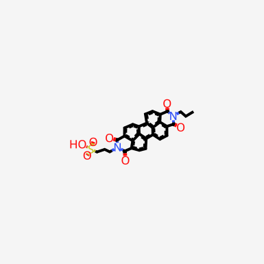 CCCN1C(=O)c2ccc3c4ccc5c6c(ccc(c7ccc(c2c37)C1=O)c64)C(=O)N(CCCS(=O)(=O)O)C5=O